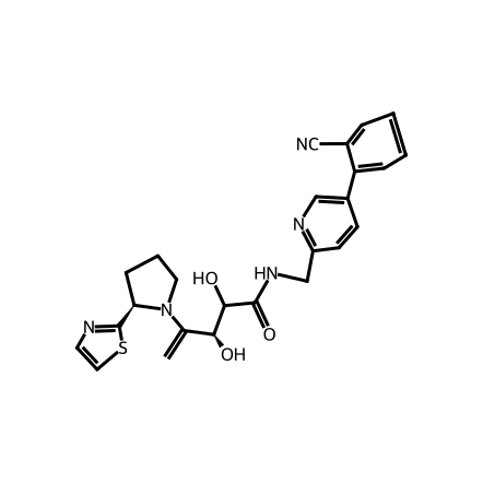 C=C([C@H](O)C(O)C(=O)NCc1ccc(-c2ccccc2C#N)cn1)N1CCC[C@@H]1c1nccs1